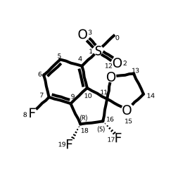 CS(=O)(=O)c1ccc(F)c2c1C1(OCCO1)[C@H](F)[C@@H]2F